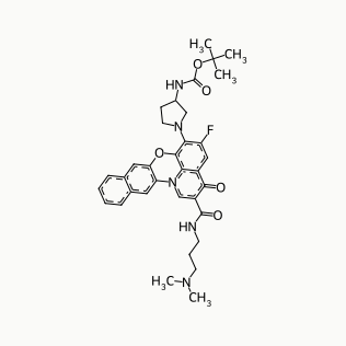 CN(C)CCCNC(=O)c1cn2c3c(c(N4CCC(NC(=O)OC(C)(C)C)C4)c(F)cc3c1=O)Oc1cc3ccccc3cc1-2